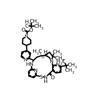 C[C@H]1CC(c2cc(C3CCN(C(=O)OC(C)(C)C)CC3)ccn2)Nc2cccc(n2)SNC(=O)c2ccc(C(C)(C)C)nc2N2C[C@@H]1CC2(C)C